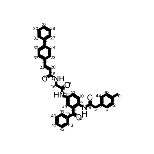 Cc1ccc(CC(=O)Nc2ccc(NC(=O)CNC(=O)C=Cc3ccc(-c4ccccc4)cc3)cc2C(=O)c2ccccc2)cc1